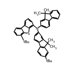 CC(C)(C)c1ccc2c(c1)C(C)(C)c1cc(N(c3ccc4c(c3)C(C)(C)c3ccccc3-4)c3cccc4c3sc3c(C(C)(C)C)cccc34)ccc1-2